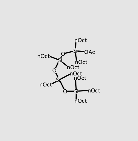 CCCCCCCC[Si](CCCCCCCC)(CCCCCCCC)O[Si](CCCCCCCC)(CCCCCCCC)O[Si](CCCCCCCC)(CCCCCCCC)O[Si](CCCCCCCC)(CCCCCCCC)OC(C)=O